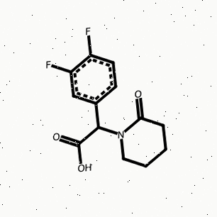 O=C(O)C(c1ccc(F)c(F)c1)N1CCCCC1=O